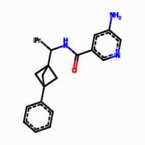 CC(C)C(NC(=O)c1cncc(N)c1)C12CC(c3ccccc3)(C1)C2